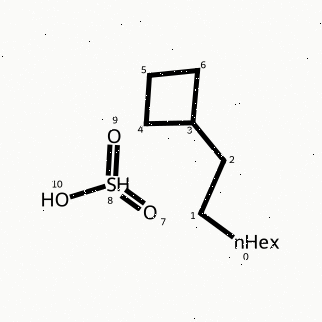 CCCCCCCCC1CCC1.O=[SH](=O)O